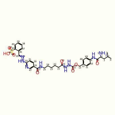 CC(C)C[C@H](N)C(=O)Nc1ccc(COC(=O)NNC(=O)CCCCCNC(=O)c2ccc(NN=Cc3ccccc3S(=O)(=O)O)nc2)cc1